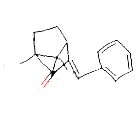 CC12CCC(C(=Cc3ccccc3)C1=O)C2(C)C.S